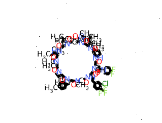 CC[C@H](C)[C@@H]1NC(=O)[C@H](CC(C)C)N(C)C(=O)C[C@@H](C(=O)N(C)C)N(C)C(=O)[C@H]([C@@H](C)CC)N(C)C(=O)C2(CCCC2)NC(=O)[C@H](CC(=O)N2CCC(F)(F)CC2)N(C)C(=O)[C@H](CCc2ccc(C(F)(F)F)c(Cl)c2)NC(=O)CN(C)C(=O)[C@H](Cc2ccc(C)cc2)N(C)C(=O)[C@@H]2CCN2C(=O)[C@H](C)N(C)C1=O